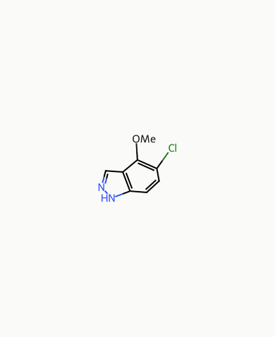 COc1c(Cl)ccc2[nH]ncc12